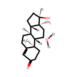 CC(=O)[C@@]1(O)CC[C@H]2[C@@H]3CCC4=CC(=O)CC[C@]4(C)[C@H]3CC[C@@]21C.CCOCC